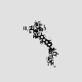 COC(=O)NCC(=O)N1CCC[C@H]1c1ncc(-c2ccc3c(F)c4oc5ccc(-c6cnc(CN(C[C@@H](C)F)C(=O)[C@@H](NC(=O)OC)C(C)C)[nH]6)cc5c(=O)c4cc3c2)[nH]1